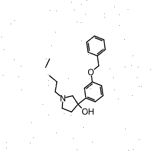 CC.CCCN1CCC(O)(c2cccc(OCc3ccccc3)c2)C1